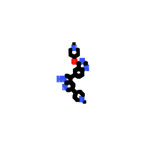 CN1CC=C(c2cnc3[nH]cc(-c4ccc5ncnc(OC6CCN(C)CC6)c5c4)c3c2)CC1